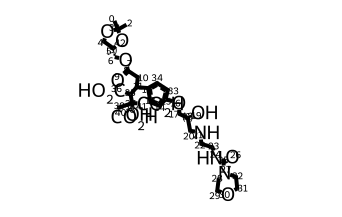 CC1(C)OC[C@@H](COC(=O)CC(c2ccc(OC[C@@H](O)CNCCNC(=O)N3CCOCC3)cc2)C(C(=O)O)C(O)(CC(=O)O)C(=O)O)O1